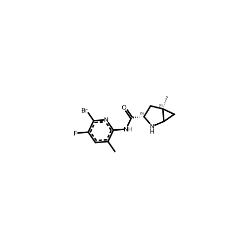 Cc1cc(F)c(Br)nc1NC(=O)[C@@H]1C[C@@]2(C)CC2N1